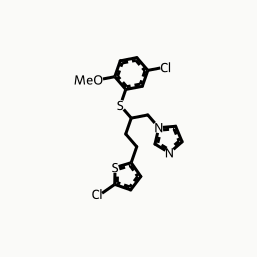 COc1ccc(Cl)cc1SC(CCc1ccc(Cl)s1)Cn1ccnc1